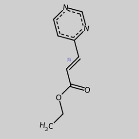 CCOC(=O)/C=C/c1ccncn1